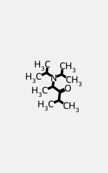 CC(C)C(=O)C(C)N(C(C)C)C(C)C